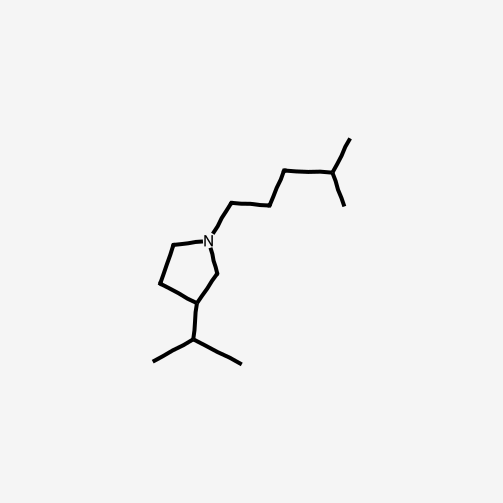 CC(C)CCCN1CCC(C(C)C)C1